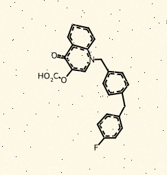 O=C(O)Oc1cn(Cc2ccc(Cc3ccc(F)cc3)cc2)c2ccccc2c1=O